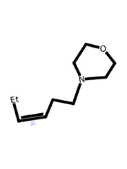 CC/C=C\CCN1CCOCC1